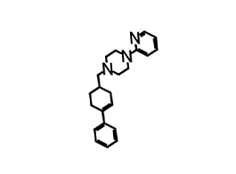 C1=C(c2ccccc2)CCC(CN2CCN(c3ccccn3)CC2)C1